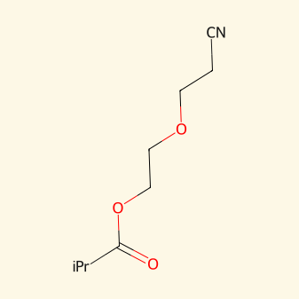 CC(C)C(=O)OCCOCCC#N